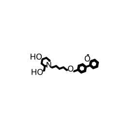 COc1ccccc1-c1ccc(COCCCCCN2CCC(O)CC2CO)cc1